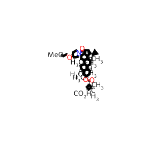 COCCOC1CCN(C(=O)[C@]23CC[C@@H](C4(C)CC4)[C@@H]2[C@H]2CC[C@@H]4[C@@]5(C)CC[C@H](OC(=O)[C@H]6C[C@@H](C(=O)O)C6(C)C)C(C)(C)[C@@H]5CC[C@@]4(C)[C@]2(C)CC3)CC1